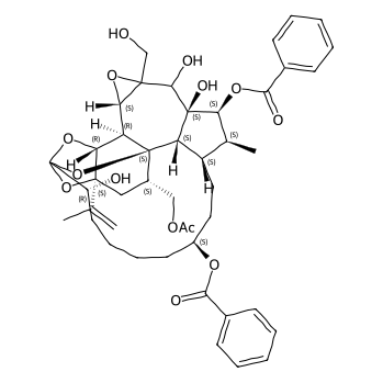 C=C(C)[C@@]12C[C@@H](COC(C)=O)[C@]34OC5(O[C@@H]1[C@H]3[C@@H]1OC1(CO)C(O)[C@]1(O)[C@@H](OC(=O)c3ccccc3)[C@@H](C)[C@H](CC[C@@H](OC(=O)c3ccccc3)CCCC[C@H]5O)[C@@H]14)O2